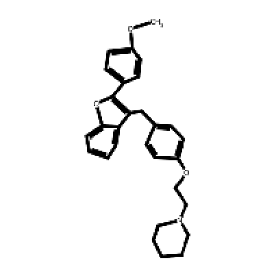 COc1ccc(-c2oc3ccccc3c2Cc2ccc(OCCN3CCCCC3)cc2)cc1